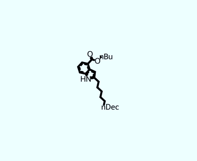 CCCCCCCCCCCCCCCc1cc2c(C(=O)OCCCC)cccc2[nH]1